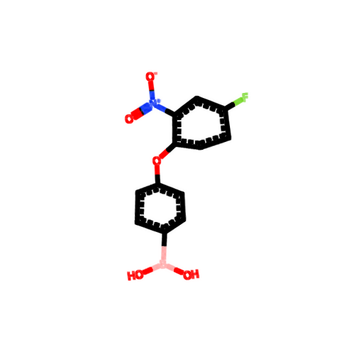 O=[N+]([O-])c1cc(F)ccc1Oc1ccc(B(O)O)cc1